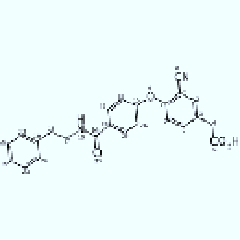 N#Cc1cc(CC(=O)O)ccc1Oc1ccc(C(=O)NCCc2ccccc2)cc1